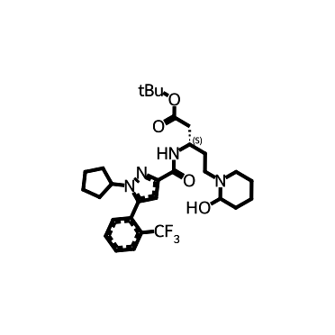 CC(C)(C)OC(=O)C[C@H](CCN1CCCCC1O)NC(=O)c1cc(-c2ccccc2C(F)(F)F)n(C2CCCC2)n1